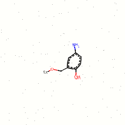 CCOCc1cc(N)ccc1O